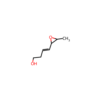 CC1OC1C=CCCO